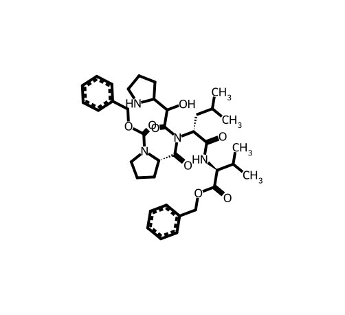 CC(C)C[C@H](C(=O)N[C@H](C(=O)OCc1ccccc1)C(C)C)N(C(=O)C(O)C1CCCN1)C(=O)[C@@H]1CCCN1C(=O)OCc1ccccc1